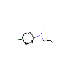 COCCN(N)c1ccc(F)cc1